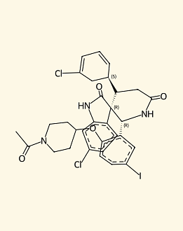 CC(=O)N1CCC(Oc2ccc(I)cc2[C@H]2NC(=O)CC([C@@H]3C=CC=C(Cl)C3)[C@]23C(=O)Nc2cc(Cl)ccc23)CC1